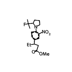 CCC(CC(=O)OC)c1ccc(N2CCCC2C(C)(C)F)c([N+](=O)[O-])c1